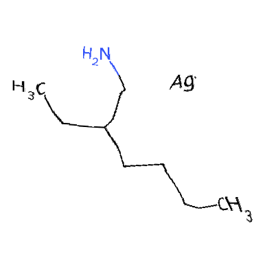 CCCCC(CC)CN.[Ag]